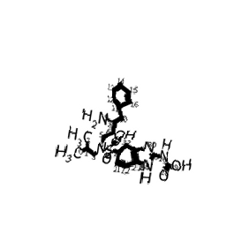 CC(C)CN(C[C@@H](O)[C@@H](N)Cc1ccccc1)S(=O)(=O)c1ccc2[nH]c(NC(=O)O)nc2c1